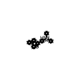 c1ccc(C2=NC(c3ccccc3)NC(c3ccc(-c4ccc5c(c4)oc4cccc(-n6c7ccccc7c7ccccc76)c45)cc3)=N2)cc1